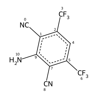 N#Cc1c(C(F)(F)F)cc(C(F)(F)F)c(C#N)c1N